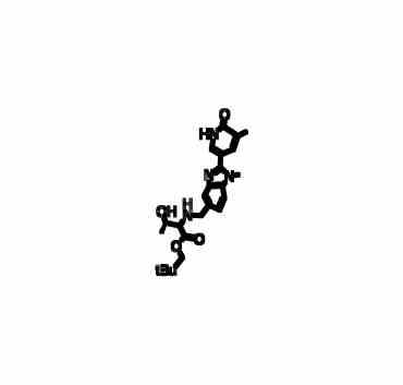 Cc1cc(-c2nc3cc(CNC(C(=O)OCC(C)(C)C)[C@@H](C)O)ccc3n2C)c[nH]c1=O